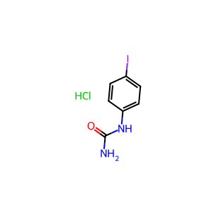 Cl.NC(=O)Nc1ccc(I)cc1